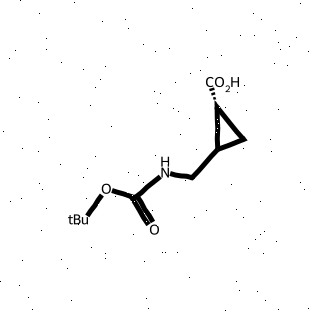 CC(C)(C)OC(=O)NCC1C[C@H]1C(=O)O